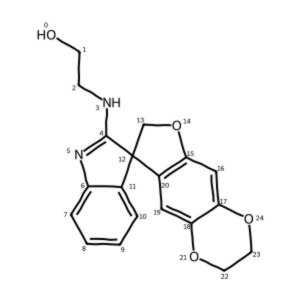 OCCNC1=Nc2ccccc2C12COc1cc3c(cc12)OCCO3